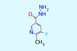 Cc1ncc(C(=O)NN)cc1F